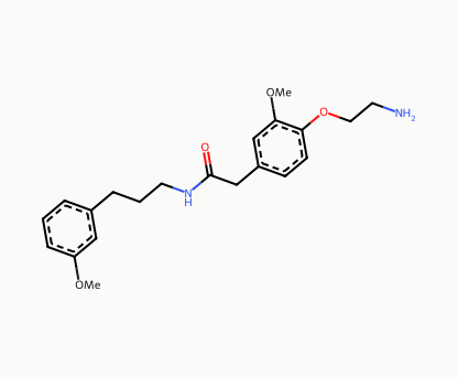 COc1cccc(CCCNC(=O)Cc2ccc(OCCN)c(OC)c2)c1